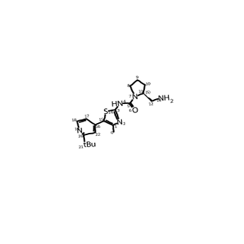 Cc1nc(NC(=O)N2CCC[C@H]2CN)sc1-c1ccnc(C(C)(C)C)c1